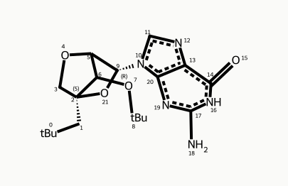 CC(C)(C)C[C@]12COC(C1OC(C)(C)C)[C@H](n1cnc3c(=O)[nH]c(N)nc31)O2